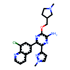 CN1CCC(COc2nc(-c3cc(Cl)c4ncccc4c3)c(-c3ccn(C)n3)nc2N)C1